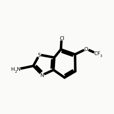 Nc1nc2ccc(OC(F)(F)F)c(Cl)c2s1